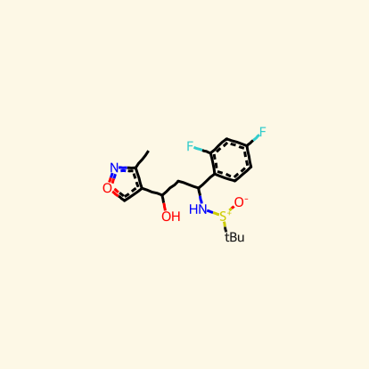 Cc1nocc1C(O)CC(N[S+]([O-])C(C)(C)C)c1ccc(F)cc1F